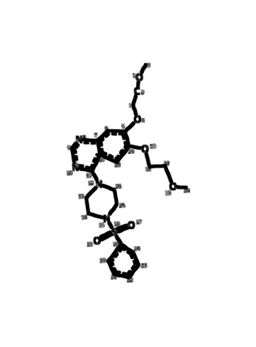 COCCOc1cc2ncnc(N3CCN(S(=O)(=O)c4ccccc4)CC3)c2cc1OCCOC